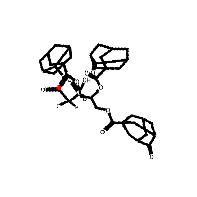 O=C1C2CC3CC1CC(C(=O)OCC(COC(=O)C14CC5CC(C1)C(OC(=O)C(F)(F)S(=O)(=O)O)C(C5)C4)OC(=O)C14CC5CC(C1)C(=O)C(C5)C4)(C3)C2